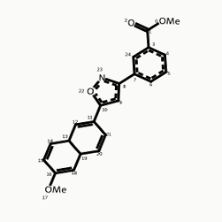 COC(=O)c1cccc(-c2cc(C3=CC4C=CC(OC)=CC4C=C3)on2)c1